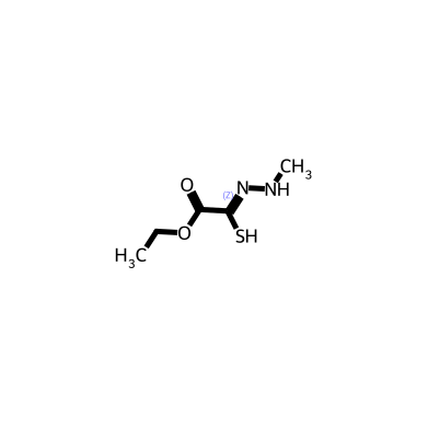 CCOC(=O)/C(S)=N/NC